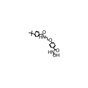 CC(C)(C)c1ccc(C(=O)NCCOc2ccc(C(=O)NO)cc2)cc1